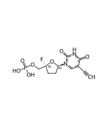 C#Cc1cn([C@H]2CC[C@@](F)(COP(=O)(O)O)O2)c(=O)[nH]c1=O